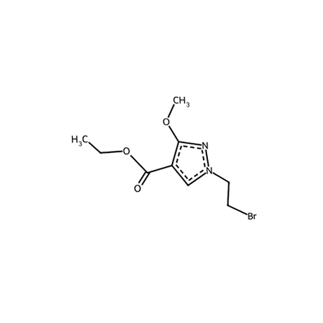 CCOC(=O)c1cn(CCBr)nc1OC